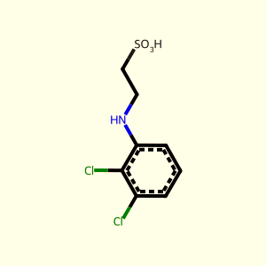 O=S(=O)(O)CCNc1cccc(Cl)c1Cl